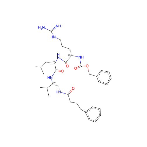 CC(C)C[C@H](NC(=O)[C@H](CCCNC(=N)N)NC(=O)OCc1ccccc1)C(=O)N[C@H](CNC(=O)CCCc1ccccc1)C(C)C